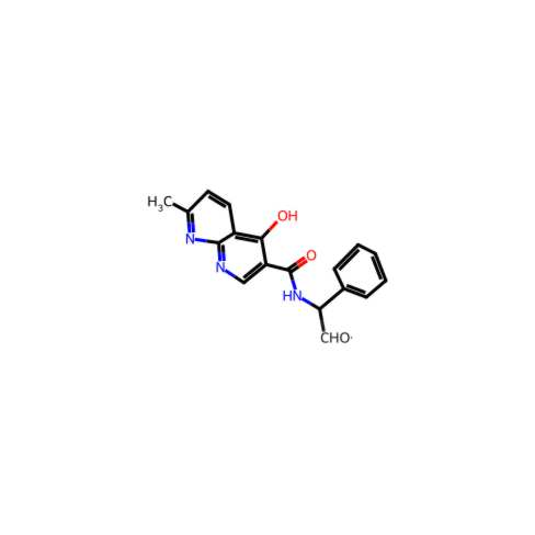 Cc1ccc2c(O)c(C(=O)NC([C]=O)c3ccccc3)cnc2n1